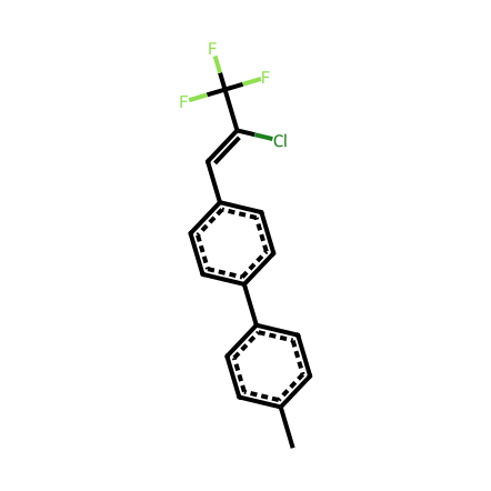 Cc1ccc(-c2ccc(/C=C(\Cl)C(F)(F)F)cc2)cc1